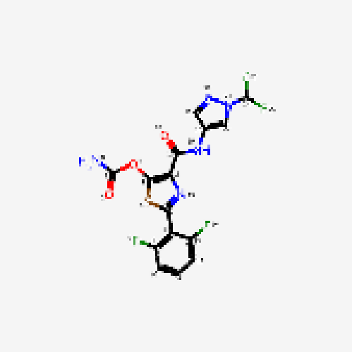 NC(=O)Oc1sc(-c2c(F)cccc2F)nc1C(=O)Nc1cnn(C(F)F)c1